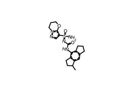 CC1CCc2c1cc1c(c2NC(=O)N=S(N)(=O)c2cnn3c2OCCC3)CCC1